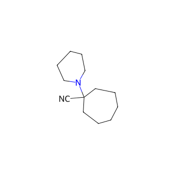 N#CC1(N2CCCCC2)CCCCCC1